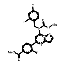 COC(=O)c1ccc(-c2cc(N(Cc3ccc(Cl)cc3Cl)C(=O)OC(C)(C)C)n3nccc3n2)c(F)c1